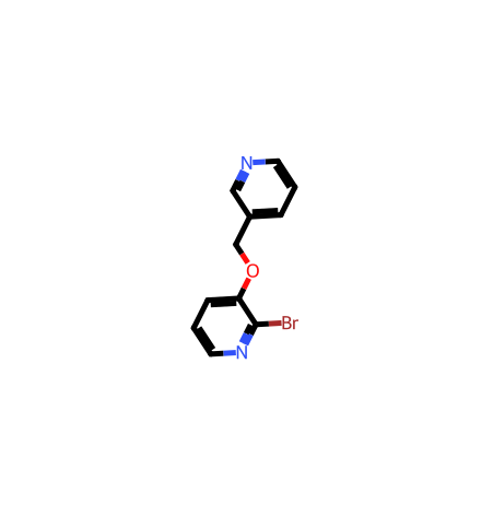 Brc1ncccc1OCc1cccnc1